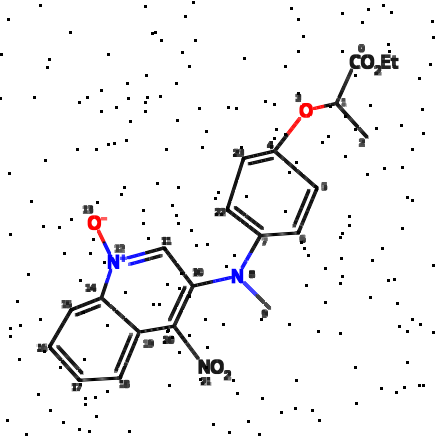 CCOC(=O)C(C)Oc1ccc(N(C)c2c[n+]([O-])c3ccccc3c2[N+](=O)[O-])cc1